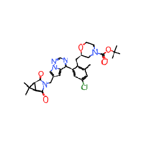 Cc1cc(Cl)cc(-c2ncnn3cc(CN4C(=O)C5C(C4=O)C5(C)C)cc23)c1C[C@@H]1CN(C(=O)OC(C)(C)C)CCO1